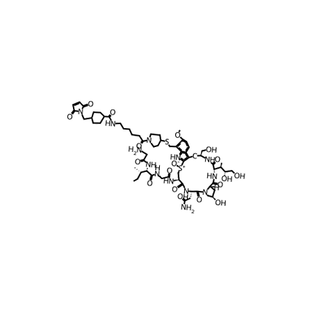 CC[C@H](C)[C@H](NC(=O)CN)C(=O)NCC(=O)N[C@H]1C[S+]([O-])c2[nH]c3c(CSC4CCN(C(=O)CCCCCNC(=O)C5CCC(CN6C(=O)C=CC6=O)CC5)CC4)c(OC)ccc3c2C[C@@H](CO)NC(=O)[C@H]([C@@H](C)[C@@H](O)CO)NC(=O)[C@@H]2C[C@@H](O)CN2C(=O)[C@H](CC(N)=O)NC1=O